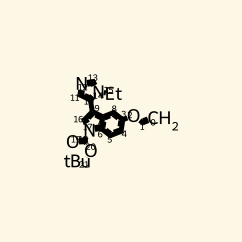 C=COc1ccc2c(c1)c(-c1cncn1CC)cn2C(=O)OC(C)(C)C